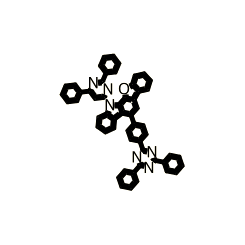 c1ccc(-c2cc(-n3c4ccccc4c4c(-c5ccc(-c6nc(-c7ccccc7)nc(-c7ccccc7)n6)cc5)cc5c6ccccc6oc5c43)nc(-c3ccccc3)n2)cc1